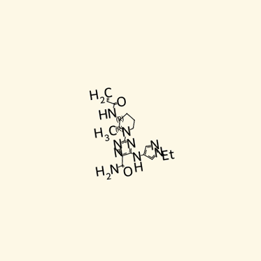 C=CC(=O)N[C@@H]1CCCN(c2nnc(C(N)=O)c(Nc3cnn(CC)c3)n2)[C@@H]1C